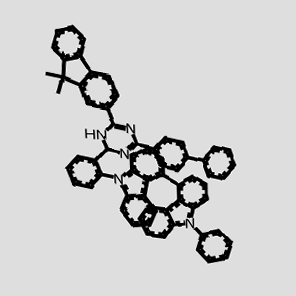 CC1(C)c2ccccc2-c2ccc(C3=NC(c4ccc(-c5ccccc5)cc4)=NC(c4ccccc4-n4c5ccccc5c5c(-c6cccc7c6c6ccccc6n7-c6ccccc6)cccc54)N3)cc21